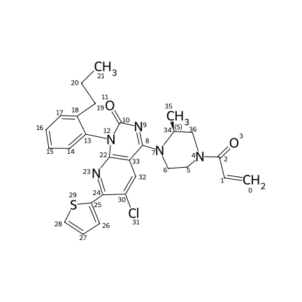 C=CC(=O)N1CCN(c2nc(=O)n(-c3ccccc3CCC)c3nc(-c4cccs4)c(Cl)cc23)[C@@H](C)C1